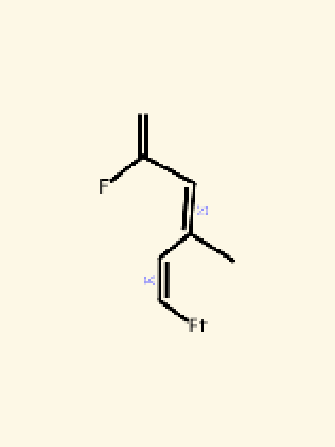 C=C(F)/C=C(C)\C=C/CC